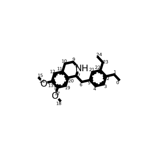 CCc1ccc(CC2NCCc3cc(OC)c(OC)cc32)cc1CC